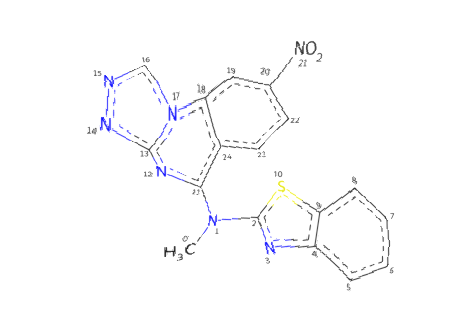 CN(c1nc2ccccc2s1)c1nc2nncn2c2cc([N+](=O)[O-])ccc12